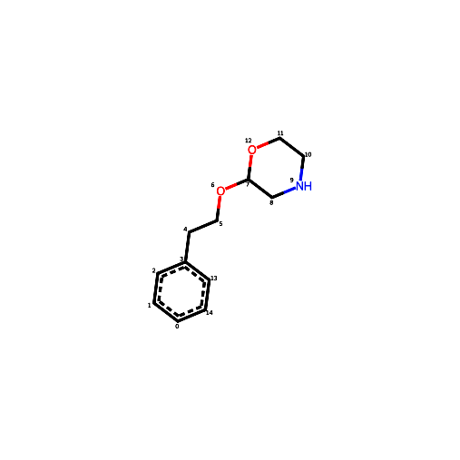 c1ccc(CCOC2CNCCO2)cc1